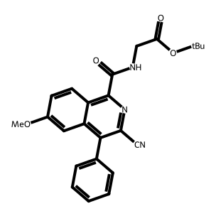 COc1ccc2c(C(=O)NCC(=O)OC(C)(C)C)nc(C#N)c(-c3ccccc3)c2c1